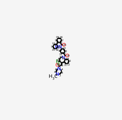 CN1C=CCN(C(=O)C=C2c3ccccc3N(C(=O)c3ccc(NC(=O)c4ccccc4-c4ccccc4)cc3)CCC2(F)F)C=C1